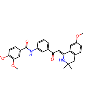 COc1ccc2c(c1)C(=CC(=O)c1cccc(NC(=O)c3ccc(OC)c(OC)c3)c1)NC(C)(C)C2